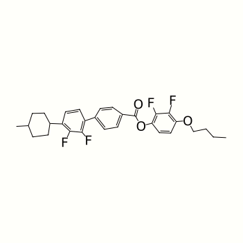 CCCCOc1ccc(OC(=O)c2ccc(-c3ccc(C4CCC(C)CC4)c(F)c3F)cc2)c(F)c1F